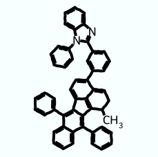 CC1CC=c2c(-c3cccc(-c4nc5ccccc5n4-c4ccccc4)c3)ccc3c2=C1c1c-3c(-c2ccccc2)c2ccccc2c1-c1ccccc1